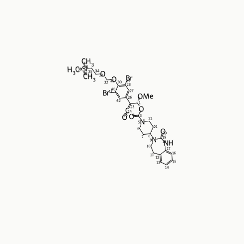 CO[C@H](OC(=O)N1CCC(N2CCc3ccccc3NC2=O)CC1)C(=C=O)c1cc(Br)c(OCOCC[Si](C)(C)C)c(Br)c1